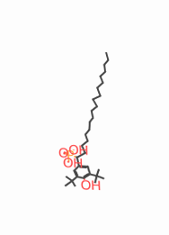 CCCCCCCCCCCCCCCCCCC(c1cc(C(C)(C)C)c(O)c(C(C)(C)C)c1)P(=O)(O)O